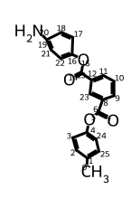 Cc1ccc(OC(=O)c2cccc(C(=O)Oc3ccc(N)cc3)c2)cc1